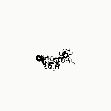 CC1C[C@H](C)CC([C@H](O)CC2CC(=O)N(CCC(=O)NC(Cc3c[nH]c4ccccc34)C(=O)O)C(=O)C2)C1=O